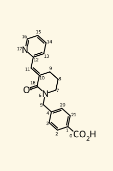 O=C(O)c1ccc(CN2CCCC(=Cc3ccccn3)C2=O)cc1